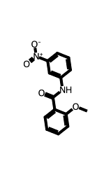 COc1ccccc1C(=O)Nc1cccc([N+](=O)[O-])c1